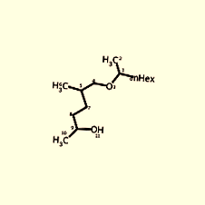 CCCCCCC(C)OCC(C)CCC(C)O